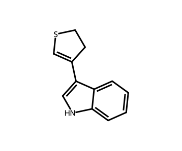 C1=C(c2c[nH]c3ccccc23)CCS1